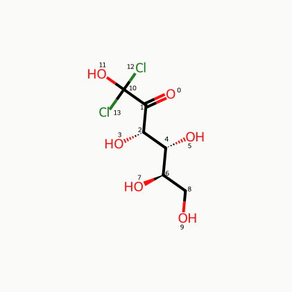 O=C([C@@H](O)[C@H](O)[C@H](O)CO)C(O)(Cl)Cl